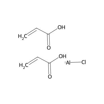 C=CC(=O)O.C=CC(=O)O.[Al][Cl]